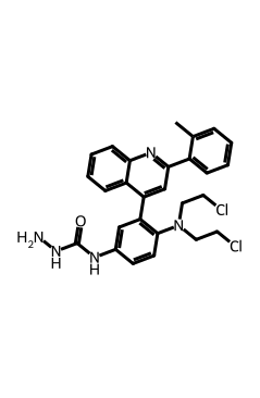 Cc1ccccc1-c1cc(-c2cc(NC(=O)NN)ccc2N(CCCl)CCCl)c2ccccc2n1